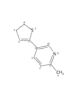 Cc1ccc(C2=CCCS2)cn1